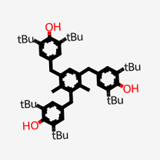 Cc1c(Cc2cc(C(C)(C)C)c(O)c(C(C)(C)C)c2)cc(Cc2cc(C(C)(C)C)c(O)c(C(C)(C)C)c2)c(C)c1Cc1cc(C(C)(C)C)c(O)c(C(C)(C)C)c1